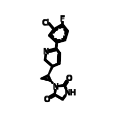 O=C1CNC(=O)N1[C@@H]1C[C@H]1C1C=CC(c2ccc(F)c(Cl)c2)=NC1